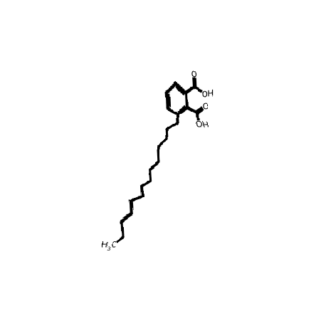 CCCCCCCCCCCCCCc1cccc(C(=O)O)c1C(=O)O